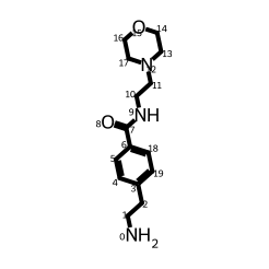 NCCc1ccc(C(=O)NCCN2CCOCC2)cc1